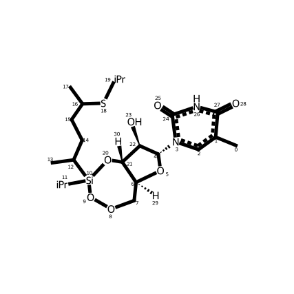 Cc1cn([C@@H]2O[C@H]3COO[Si](C(C)C)(C(C)CCC(C)SC(C)C)O[C@@H]3[C@H]2O)c(=O)[nH]c1=O